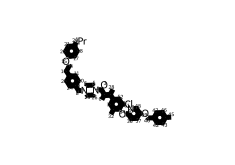 C/C(C(=O)N1CCN(Cc2ccc(CCOc3ccc(C(C)C)cc3)cc2)CC1)=C(/C)c1cc(C)c(Oc2ccc(OCc3ccc(C)cc3)cn2)c(Cl)c1